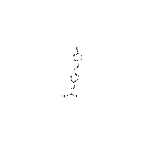 O=C(O)C=Cc1ccc(C=Cc2ccc(Br)cc2)cc1